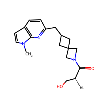 CC[C@H](CO)C(=O)N1CC2(CC(Cc3ccc4ccn(C)c4n3)C2)C1